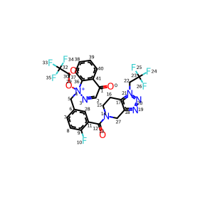 O=C1C=N[N+](Cc2ccc(F)c(C(=O)N3CCc4c(nnn4CC(F)(F)F)C3)c2)(OC(=O)C(F)(F)F)c2ccccc21